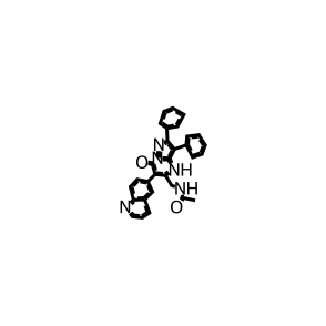 CC(=O)NCc1[nH]c2c(-c3ccccc3)c(-c3ccccc3)nn2c(=O)c1-c1ccc2ncccc2c1